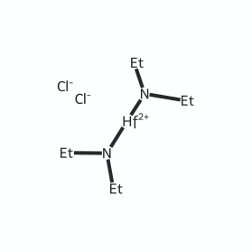 CC[N](CC)[Hf+2][N](CC)CC.[Cl-].[Cl-]